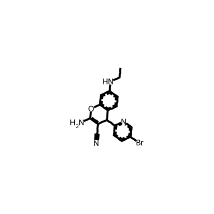 CCNc1ccc2c(c1)OC(N)=C(C#N)C2c1ccc(Br)cn1